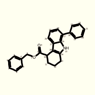 O=C(OCc1ccccc1)C1CCCc2[nH]c3c(-c4ccccc4)cccc3c21